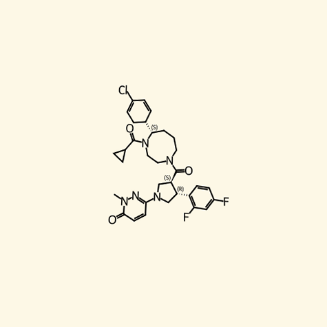 Cn1nc(N2C[C@@H](C(=O)N3CCC[C@@H](C4C=CC(Cl)=CC4)N(C(=O)C4CC4)CC3)[C@H](c3ccc(F)cc3F)C2)ccc1=O